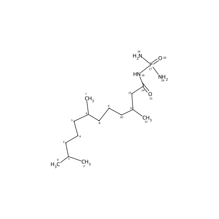 CC(C)CCCC(C)CCCC(C)CC(=O)NP(N)(N)=O